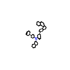 c1ccc(-c2ccc(N(c3cccc(-c4ccc5c(ccc6ccc7ccccc7c65)c4)c3)c3ccc4ccccc4c3)cc2)cc1